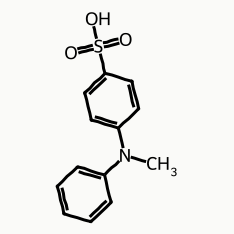 CN(c1ccccc1)c1ccc(S(=O)(=O)O)cc1